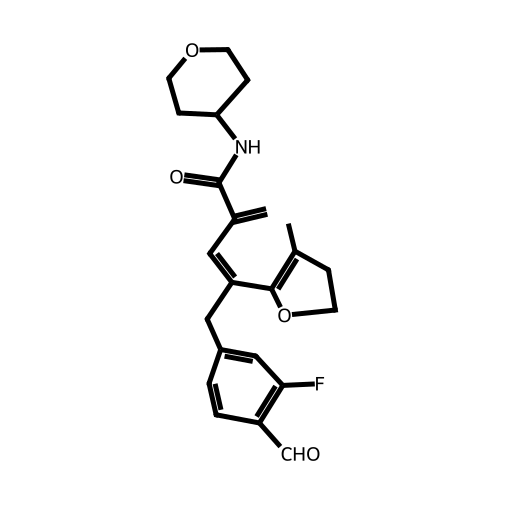 C=C(/C=C(/Cc1ccc(C=O)c(F)c1)C1=C(C)CCO1)C(=O)NC1CCOCC1